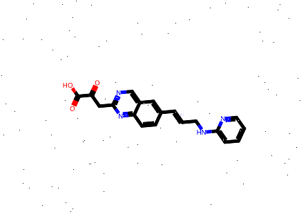 O=C(O)C(=O)Cc1ncc2cc(/C=C/CNc3ccccn3)ccc2n1